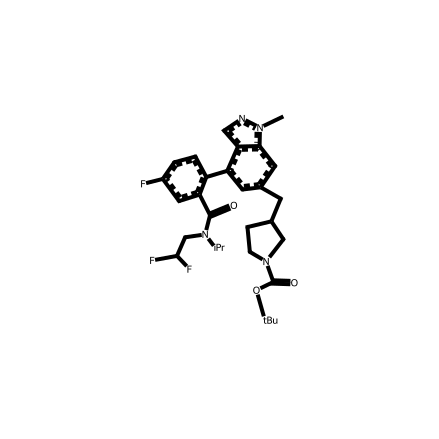 CC(C)N(CC(F)F)C(=O)c1cc(F)ccc1-c1cc(CC2CCN(C(=O)OC(C)(C)C)C2)cc2c1cnn2C